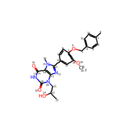 Cc1ccc(COc2ccc(-c3nc4c(c(=O)[nH]c(=O)n4CC(C)O)n3C)cc2OC(F)(F)F)cc1